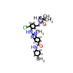 Bc1ccc(NC(=O)c2ccc3c(c2)nc(Nc2cc(CNC(=O)C(C)(C)C)ccc2Cl)n3C)cc1